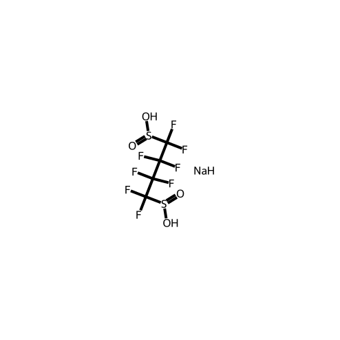 O=S(O)C(F)(F)C(F)(F)C(F)(F)C(F)(F)S(=O)O.[NaH]